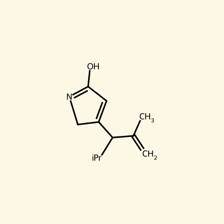 C=C(C)C(C1=CC(O)=NC1)C(C)C